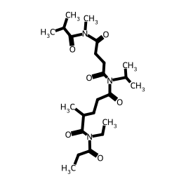 CCC(=O)N(CC)C(=O)C(C)CCC(=O)N(C(=O)CCC(=O)N(C)C(=O)C(C)C)C(C)C